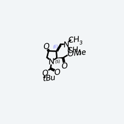 COC(=O)[C@@H]1/C(=C\N(C)C)C(=O)CN1C(=O)OC(C)(C)C